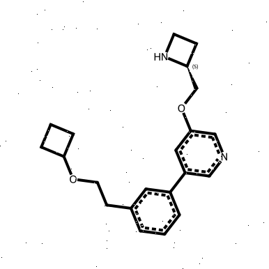 c1cc(CCOC2CCC2)cc(-c2cncc(OC[C@@H]3CCN3)c2)c1